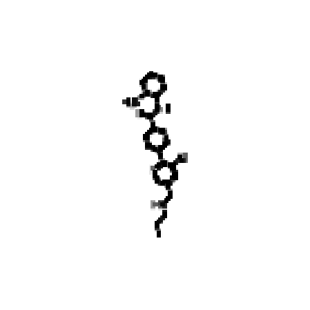 CCCNCc1cnc(-c2ccc(C(=O)Nc3ccccc3N)cc2)c(Cl)c1